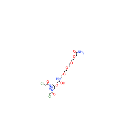 NC(=O)COCCOCCOCCOCCNC(O)COC(CNC(=O)CCl)CNC(=O)CCl